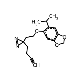 C#CCCC1(CCOc2cc3c(cc2C(C)C)OCO3)N=N1